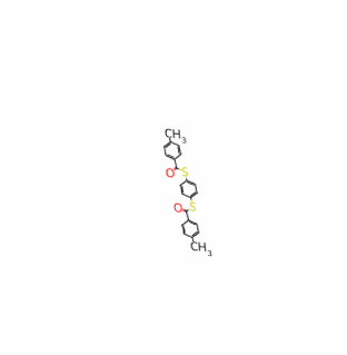 Cc1ccc(C(=O)Sc2ccc(SC(=O)c3ccc(C)cc3)cc2)cc1